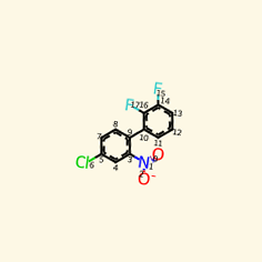 O=[N+]([O-])c1cc(Cl)ccc1-c1cccc(F)c1F